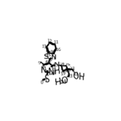 CSc1nc(C)c(-c2nc3ccccc3s2)c(NC2CC(CO)(CO)C2)n1